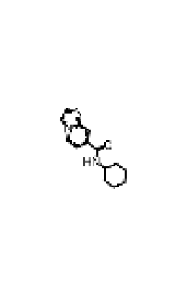 O=C(NC1CCCCC1)c1ccn2ccnc2c1